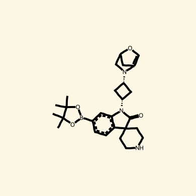 CC1(C)OB(c2ccc3c(c2)N([C@H]2C[C@@H](N4CC5CC4=CO5)C2)C(=O)C32CCNCC2)OC1(C)C